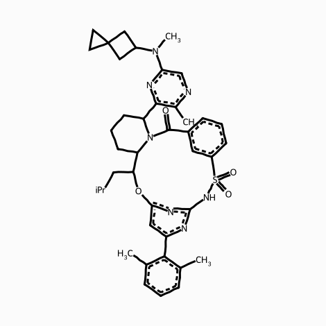 Cc1cccc(C)c1-c1cc2nc(n1)NS(=O)(=O)c1cccc(c1)C(=O)N1C(c3nc(N(C)C4CC5(CC5)C4)cnc3C)CCCC1C(CC(C)C)O2